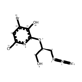 [N-]=[N+]=NC[C@@H](CO)Oc1nc(Cl)cc(Br)c1O